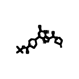 C[C@@H]1CCN(C(=O)c2cnn3c(C4CCN(C(=O)OC(C)(C)C)CC4)cc(=O)[nH]c23)C1